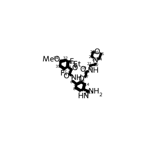 CCOC(C(=O)NCc1ccc(C(=N)N)cc1OCC(=O)NCCN1CCOCC1)c1c(F)cc(OC)cc1F